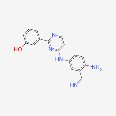 N=Cc1cc(Nc2ccnc(-c3cccc(O)c3)n2)ccc1N